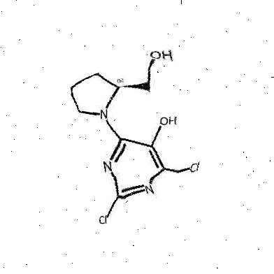 OC[C@@H]1CCCN1c1nc(Cl)nc(Cl)c1O